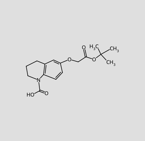 CC(C)(C)OC(=O)COc1ccc2c(c1)CCCN2C(=O)O